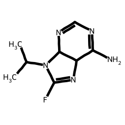 CC(C)N1C(F)=NC2C(N)=NC=NC21